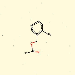 CCCC(=O)OCc1ccccc1C